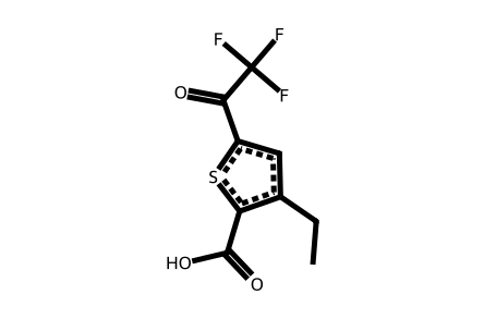 CCc1cc(C(=O)C(F)(F)F)sc1C(=O)O